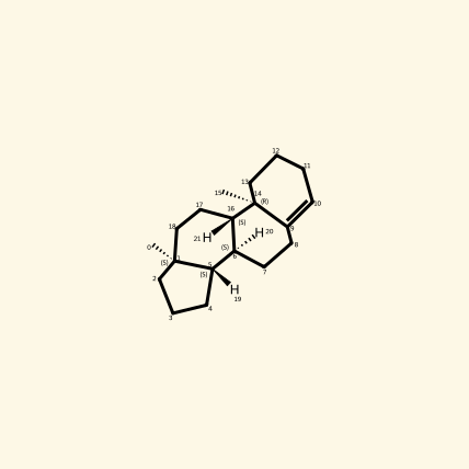 C[C@@]12CCC[C@H]1[C@@H]1CCC3=CCCC[C@]3(C)[C@H]1CC2